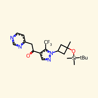 CC1(O[Si](C)(C)C(C)(C)C)CC(n2ncc(C(=O)Cc3ccncn3)c2C(F)(F)F)C1